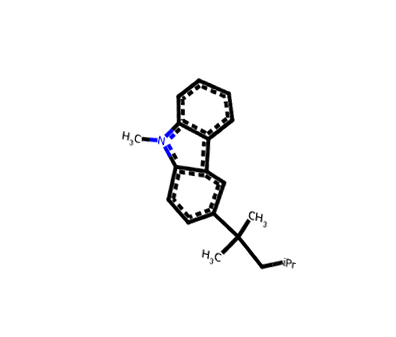 CC(C)CC(C)(C)c1ccc2c(c1)c1ccccc1n2C